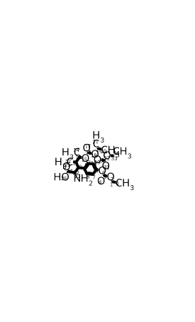 CCOC(=O)Oc1ccc(C(C(C)C(C)OC(=O)OC(C)C)[C@@H](N)C(=O)O)cc1OC(=O)OCC